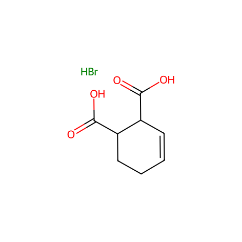 Br.O=C(O)C1C=CCCC1C(=O)O